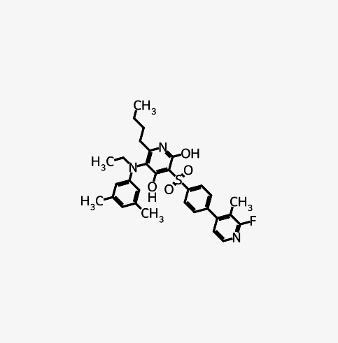 CCCCc1nc(O)c(S(=O)(=O)c2ccc(-c3ccnc(F)c3C)cc2)c(O)c1N(CC)c1cc(C)cc(C)c1